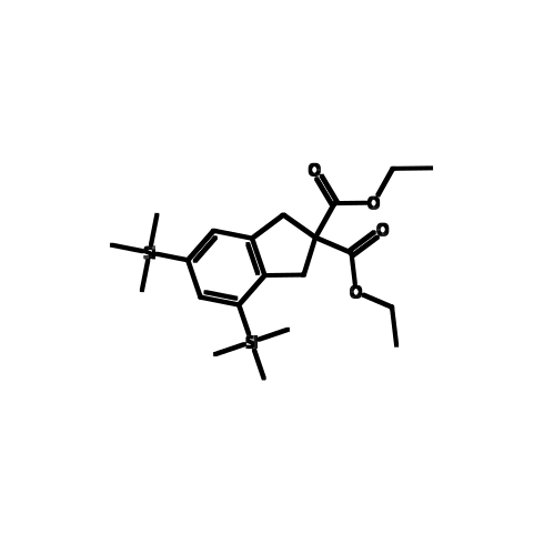 CCOC(=O)C1(C(=O)OCC)Cc2cc([Si](C)(C)C)cc([Si](C)(C)C)c2C1